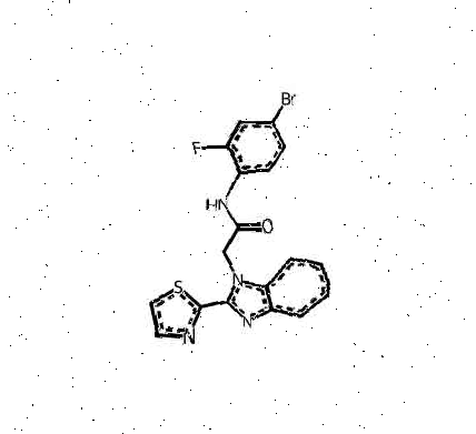 O=C(Cn1c(-c2nccs2)nc2ccccc21)Nc1ccc(Br)cc1F